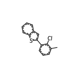 Cc1cccc(-c2cc3ccccc3s2)c1Cl